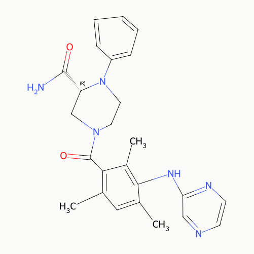 Cc1cc(C)c(C(=O)N2CCN(c3ccccc3)[C@@H](C(N)=O)C2)c(C)c1Nc1cnccn1